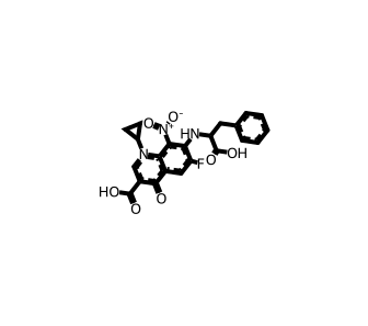 O=C(O)c1cn(C2CC2)c2c([N+](=O)[O-])c(NC(Cc3ccccc3)C(=O)O)c(F)cc2c1=O